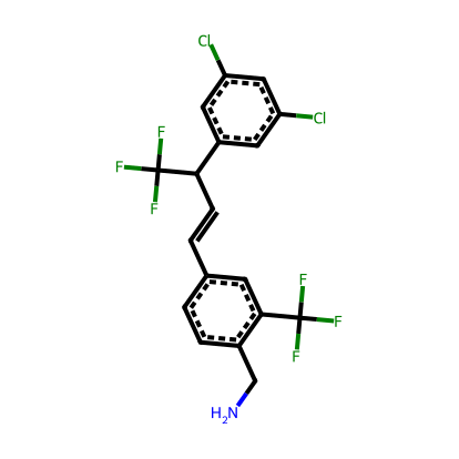 NCc1ccc(/C=C/C(c2cc(Cl)cc(Cl)c2)C(F)(F)F)cc1C(F)(F)F